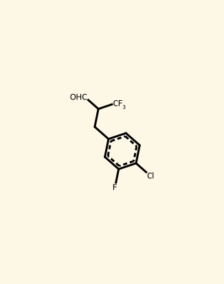 O=CC(Cc1ccc(Cl)c(F)c1)C(F)(F)F